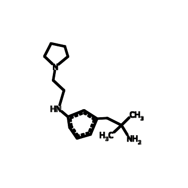 CC(C)(N)Cc1cccc(NCCN2CCCC2)c1